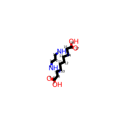 NCCCN.O=C(O)CCCCCCCCC(=O)O